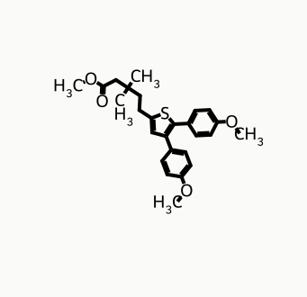 COC(=O)CC(C)(C)CCc1cc(-c2ccc(OC)cc2)c(-c2ccc(OC)cc2)s1